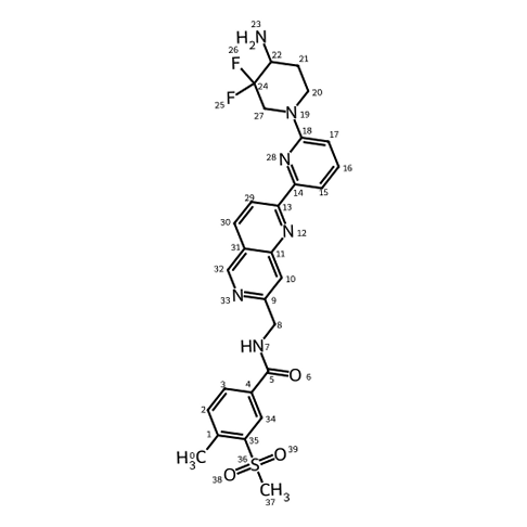 Cc1ccc(C(=O)NCc2cc3nc(-c4cccc(N5CCC(N)C(F)(F)C5)n4)ccc3cn2)cc1S(C)(=O)=O